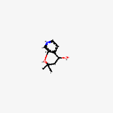 CC1(C)CC(O)c2ccncc2O1